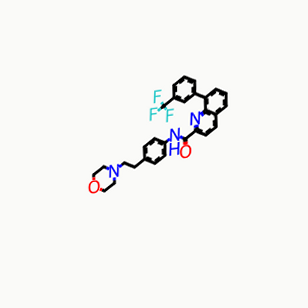 O=C(Nc1ccc(CCN2CCOCC2)cc1)c1ccc2cccc(-c3cccc(C(F)(F)F)c3)c2n1